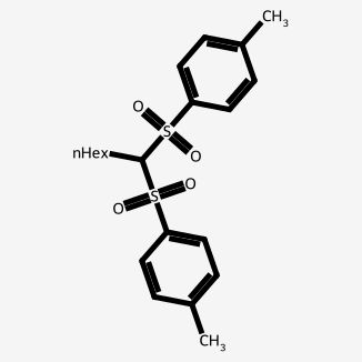 CCCCCCC(S(=O)(=O)c1ccc(C)cc1)S(=O)(=O)c1ccc(C)cc1